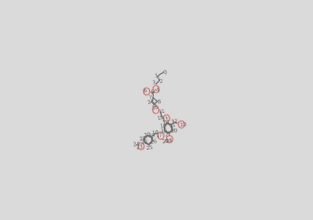 CCCCOC(=O)C1CC(OCCOc2cc(OCc3ccc(OC)cc3)c(OC)cc2C=O)C1